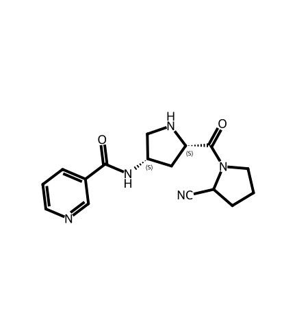 N#CC1CCCN1C(=O)[C@@H]1C[C@H](NC(=O)c2cccnc2)CN1